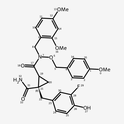 COc1ccc(CON(Cc2ccc(OC)cc2OC)C(=O)C2C[C@]2(Cc2ccc(O)c(F)c2)C(N)=O)cc1